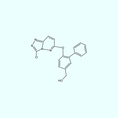 OCc1ccc(Oc2ccc3nnc(Cl)n3n2)c(-c2ccccc2)c1